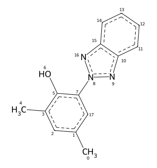 Cc1cc(C)c(O)c(-n2nc3ccccc3n2)c1